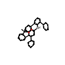 CC1(C)c2ccccc2-c2c(-c3ccccc3)cc(Nc3c(-c4ccccc4)cccc3-c3ccccc3)cc21